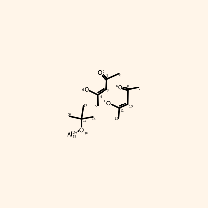 CC(=O)/C=C(/C)[O-].CC(=O)/C=C(/C)[O-].CC(C)(C)[O][Al+2]